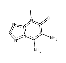 Cn1c(=O)c(N)c(N)n2ncnc12